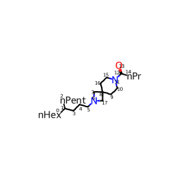 CCCCCCC(CCCCC)CCCN1CC2(CCN(C(=O)CCC)CC2)C1